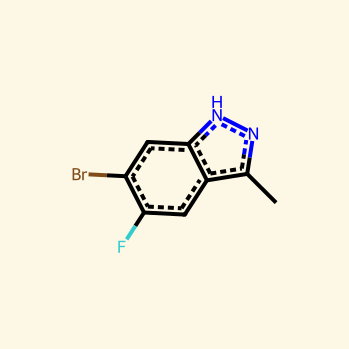 Cc1n[nH]c2cc(Br)c(F)cc12